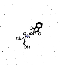 CC(C)(C)N(CCO)/[N+]([O-])=N/OCN1C(=O)c2ccccc2C1=O